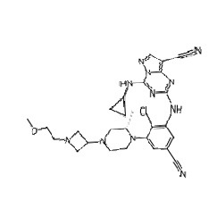 COCCN1CC(N2CCN(c3cc(C#N)cc(Nc4nc(NC5CC5)n5ncc(C#N)c5n4)c3Cl)[C@@H](C)C2)C1